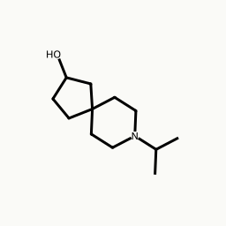 CC(C)N1CCC2(CCC(O)C2)CC1